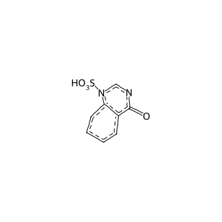 O=c1ncn(S(=O)(=O)O)c2ccccc12